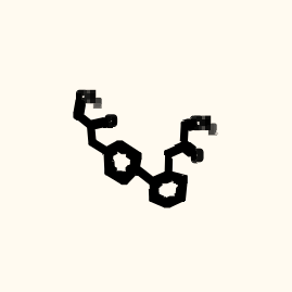 C=CC(=O)Cc1ccc(-c2ccccc2CC(=O)C=C)cc1